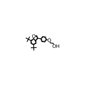 CC(C)(C)c1cc(C(C)(C)C)c2occ(-c3ccc(OCCO)cc3)c2c1